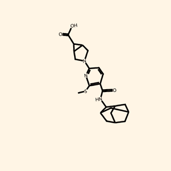 CSc1nc(N2CC3C(C2)C3C(=O)O)ccc1C(=O)NC1C2CC3CC(C2)CC1C3